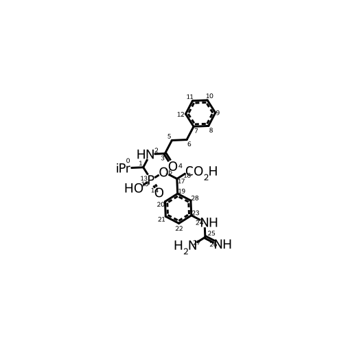 CC(C)C(NC(=O)CCc1ccccc1)P(=O)(O)OC(C(=O)O)c1cccc(NC(=N)N)c1